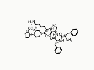 CC(C)C[C@@H](NC(=O)[C@@H](Cc1ccccc1)NC(=O)[C@H](N)Cc1ccccc1)C(=O)N[C@H](CCCCN)C(=O)N1CCC(N2CCC[C@H]2C(=O)O)CC1